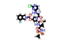 C=C[C@@H]1C[C@]1(NC(=O)[C@@H]1CC(OC(=O)N2Cc3cccc(F)c3C2)CN1C(=O)[C@@H](C)Nc1ccnc(Cl)n1)C(=O)NS(=O)(=O)C1CC1